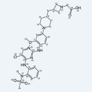 COc1cc(N2CCC(CC3CN(CC(=O)O)C3)CC2)ccc1Nc1ncc(Cl)c(Nc2ccccc2N(C)S(C)(=O)=O)n1